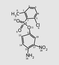 Cc1cccc(Cl)c1S(=O)(=O)Oc1ccc(N)c([N+](=O)[O-])c1